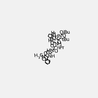 CCC[C@@H](NC(=O)[C@@H]1[C@H]2[C@@H]3CC[C@@H](C3)[C@H]2CN1C(=O)[C@@H](NC(=O)OCC(C)C)C(C)(C)C)C(=O)C(=O)NCC(=O)NC(C(=O)N(C)C)c1ccccc1